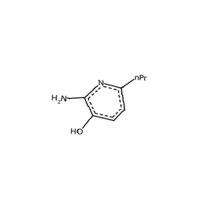 CCCc1ccc(O)c(N)n1